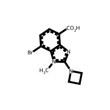 Cn1c(N2CCC2)nc2c(C(=O)O)ccc(Br)c21